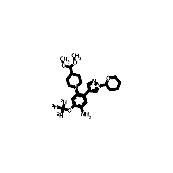 [2H]C([2H])([2H])Oc1cc(N2CCC(C(OC)OC)CC2)c(-c2cnn(C3CCCCO3)c2)cc1N